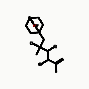 C=C(C)C(Cl)C(Cl)C(C)(Cl)CC12CCN(CC1)NC2